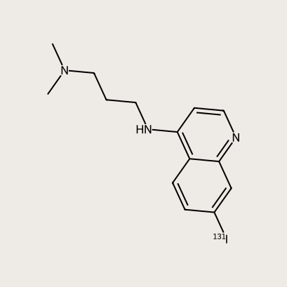 CN(C)CCCNc1ccnc2cc([131I])ccc12